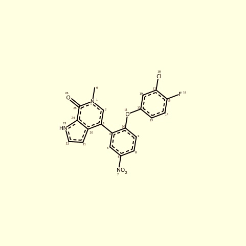 Cn1cc(-c2cc([N+](=O)[O-])ccc2Oc2ccc(F)c(Cl)c2)c2cc[nH]c2c1=O